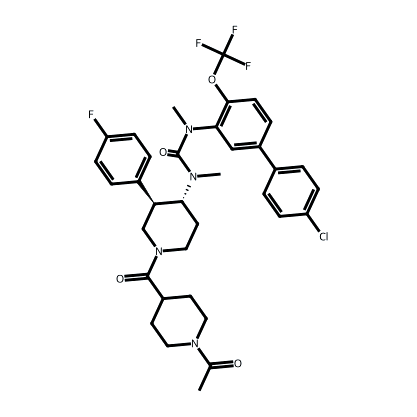 CC(=O)N1CCC(C(=O)N2CC[C@@H](N(C)C(=O)N(C)c3cc(-c4ccc(Cl)cc4)ccc3OC(F)(F)F)[C@H](c3ccc(F)cc3)C2)CC1